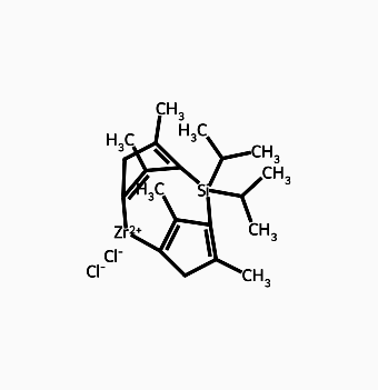 CC1=C2C(C)=[C](C1)[Zr+2][C]1=C(C)C(=C(C)C1)[Si]2(C(C)C)C(C)C.[Cl-].[Cl-]